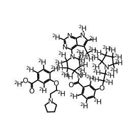 [2H]OC(=O)c1c([2H])c([2H])c([2H])c(OC([2H])CN2CCCC2)c1[2H].[2H]c1nc(N2C([2H])([2H])C([2H])([2H])C([2H])(N([2H])C(=O)c3c([2H])c([2H])c([2H])c(OC([2H])([2H])C([2H])([2H])N4C([2H])([2H])C([2H])([2H])C([2H])([2H])C4([2H])[2H])c3[2H])C([2H])([2H])C2([2H])[2H])c2c(C([2H])([2H])[2H])c([2H])n([2H])c2n1